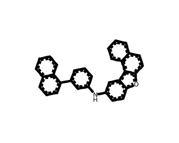 c1cc(Nc2ccc3oc4ccc5ccccc5c4c3c2)cc(-c2cccc3ccccc23)c1